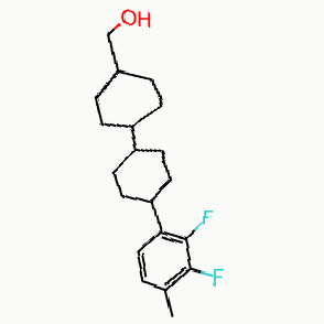 Cc1ccc(C2CCC(C3CCC(CO)CC3)CC2)c(F)c1F